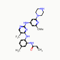 C=CC(=O)Nc1cc(C)ccc1Nc1nc(Nc2cc(OC)nc(N3CCNCC3)c2)ncc1C(F)(F)F